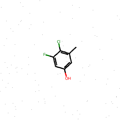 Cc1cc(O)cc(F)c1Cl